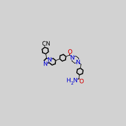 N#Cc1ccc(-c2cnc3ccc(-c4ccc(C(=O)N5CCN(Cc6ccc(C(N)=O)cc6)CC5)cc4)cn23)cc1